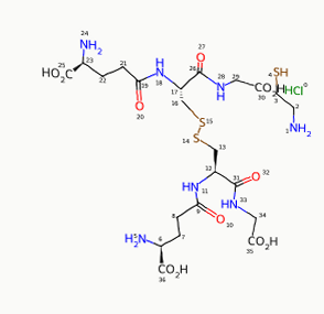 Cl.NCCS.N[C@@H](CCC(=O)N[C@@H](CSSC[C@H](NC(=O)CC[C@H](N)C(=O)O)C(=O)NCC(=O)O)C(=O)NCC(=O)O)C(=O)O